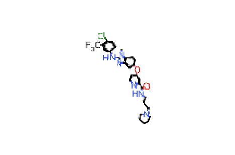 Cn1c(Nc2ccc(Cl)c(C(F)(F)F)c2)nc2cc(Oc3ccnc(C(=O)NCCCN4CCCCC4)c3)ccc21